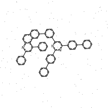 c1ccc(-c2ccc(-c3cc(-c4cccc(-c5ccc6ccc7nc(-c8ccccc8)cc(-c8ccccc8)c7c6c5)c4)nc(-c4ccc(-c5ccccc5)cc4)n3)cc2)cc1